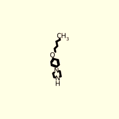 CCCCCCOc1ccc(N2CCNCC2)cc1